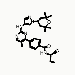 CCC(C#N)NC(=O)c1ccc(-c2nc(Nc3cnn(C4CC(C)(C)OC(C)(C)C4)c3)ncc2C)cc1